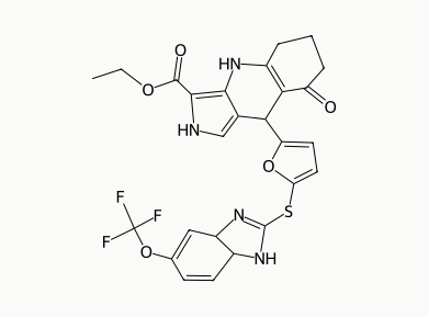 CCOC(=O)c1[nH]cc2c1NC1=C(C(=O)CCC1)C2c1ccc(SC2=NC3C=C(OC(F)(F)F)C=CC3N2)o1